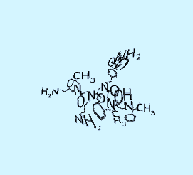 CC(=O)CN(CCCCN)C(=O)CN(CCCCN)C(=O)CN(CCc1ccc(S(N)(=O)=O)cc1)C(=O)CN(C(=O)CNC(C)c1ccccc1)C(C)c1ccccc1